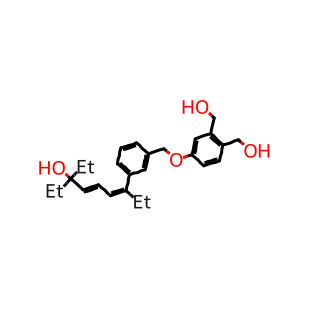 CC/C(=C/C=C/C(O)(CC)CC)c1cccc(COc2ccc(CO)c(CO)c2)c1